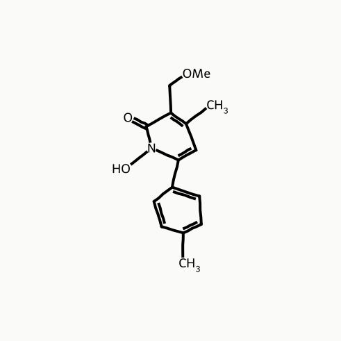 COCc1c(C)cc(-c2ccc(C)cc2)n(O)c1=O